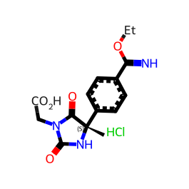 CCOC(=N)c1ccc([C@]2(C)NC(=O)N(CC(=O)O)C2=O)cc1.Cl